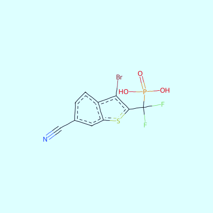 N#Cc1ccc2c(Br)c(C(F)(F)P(=O)(O)O)sc2c1